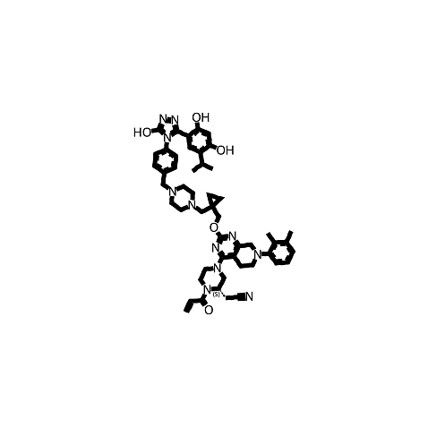 C=CC(=O)N1CCN(c2nc(OCC3(CN4CCN(Cc5ccc(-n6c(O)nnc6-c6cc(C(C)C)c(O)cc6O)cc5)CC4)CC3)nc3c2CCN(c2cccc(C)c2C)C3)C[C@@H]1CC#N